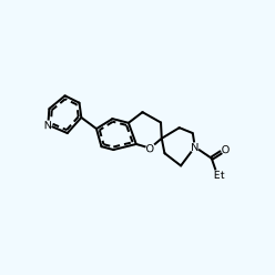 CCC(=O)N1CCC2(CCc3cc(-c4cccnc4)ccc3O2)CC1